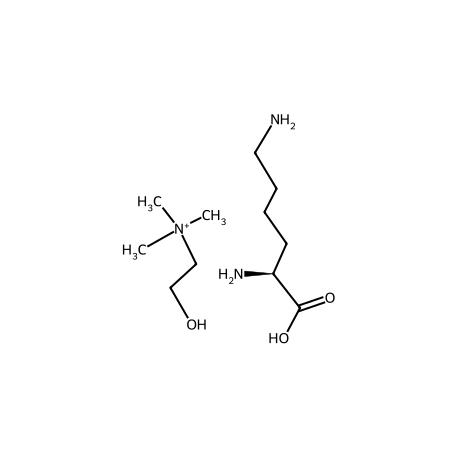 C[N+](C)(C)CCO.NCCCC[C@H](N)C(=O)O